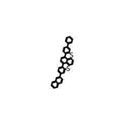 c1ccc(-c2ccc3c(c2)Sc2ccc4c5c(ccc-3c25)-c2ccc(-c3ccc5ccccc5c3)cc2S4)cc1